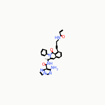 C=CC(=O)NCCC#Cc1cccc2cc([C@@H](C)NC(=O)c3c(N)ncn4ccnc34)n(-c3ccccc3)c(=O)c12